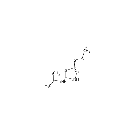 C=C(C)NC1NC=C(SCC)S1